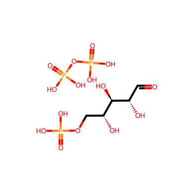 O=C[C@H](O)[C@H](O)[C@H](O)COP(=O)(O)O.O=P(O)(O)OP(=O)(O)O